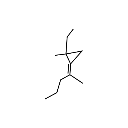 CCCC(C)=C1CC1(C)CC